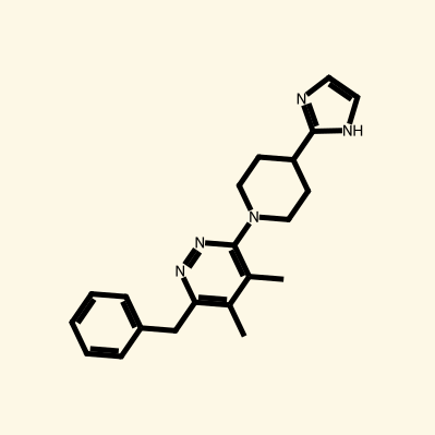 Cc1c(Cc2ccccc2)nnc(N2CCC(c3ncc[nH]3)CC2)c1C